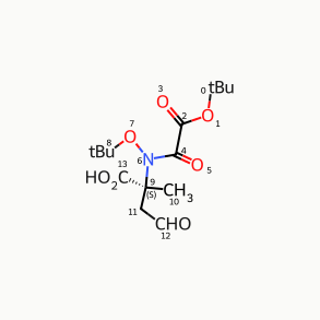 CC(C)(C)OC(=O)C(=O)N(OC(C)(C)C)[C@@](C)(CC=O)C(=O)O